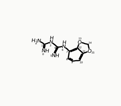 N=C(N)NC(=N)Nc1cccc2c1OCO2